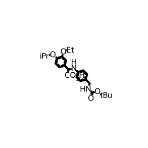 CCOc1cc(C(Nc2ccc(CNC(=O)OC(C)(C)C)cc2)C(=O)O)ccc1OC(C)C